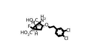 N[C@]1(C(=O)O)[C@H]2[C@@H](C[C@H]1OCCc1ccc(Cl)c(Cl)c1)[C@]2(F)C(=O)O